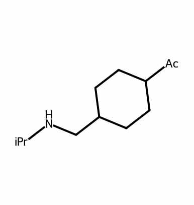 CC(=O)C1CCC(CNC(C)C)CC1